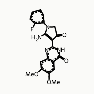 COc1cc2nc(C3=C(N)N(c4ccccc4F)CC3=O)[nH]c(=O)c2cc1OC